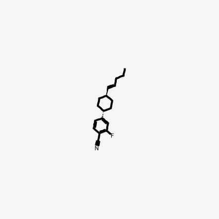 CCC/C=C/[C@H]1CC[C@H](c2ccc(C#N)c(F)c2)CC1